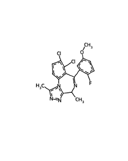 COc1ccc(F)c(C2=NC(C)c3nnc(C)n3-c3ccc(Cl)c(Cl)c32)c1